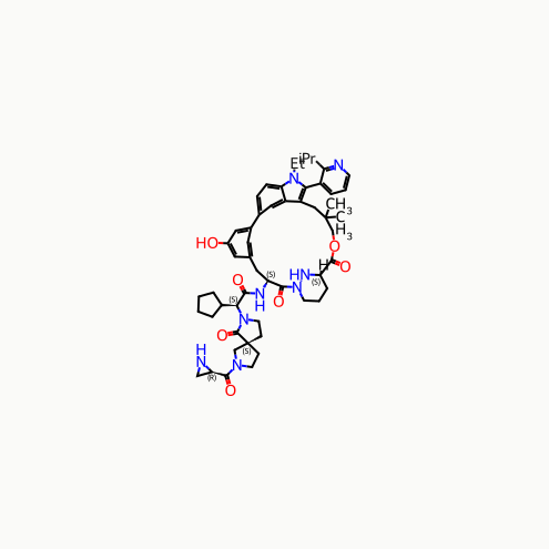 CCn1c(-c2cccnc2C(C)C)c2c3cc(ccc31)-c1cc(O)cc(c1)C[C@H](NC(=O)[C@H](C1CCCC1)N1CC[C@]3(CCN(C(=O)[C@H]4CN4)C3)C1=O)C(=O)N1CCC[C@H](N1)C(=O)OCC(C)(C)C2